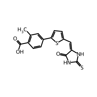 Cc1cc(-c2ccc(C=C3NC(=S)NC3=O)s2)ccc1C(=O)O